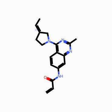 C=CC(=O)Nc1ccc2c(N3CC/C(=C/C)C3)nc(C)nc2c1